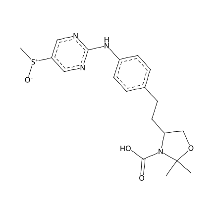 C[S+]([O-])c1cnc(Nc2ccc(CCC3COC(C)(C)N3C(=O)O)cc2)nc1